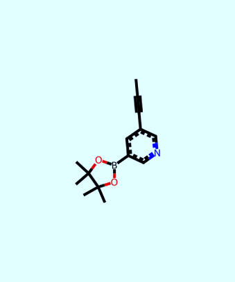 CC#Cc1cncc(B2OC(C)(C)C(C)(C)O2)c1